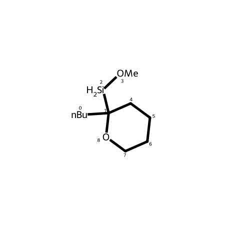 CCCCC1([SiH2]OC)CCCCO1